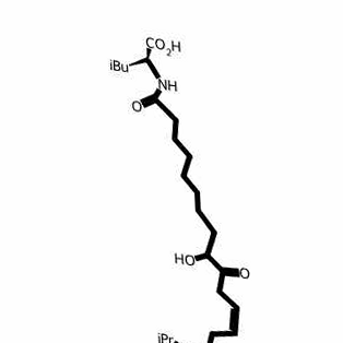 CC[C@H](C)[C@H](NC(=O)CCCCCCCC(O)C(=O)C/C=C\C/C=C\C(C)C)C(=O)O